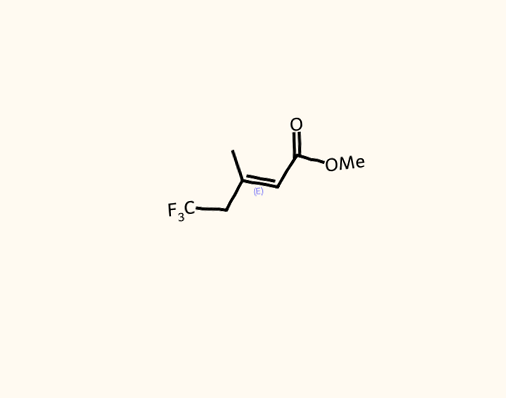 COC(=O)/C=C(\C)CC(F)(F)F